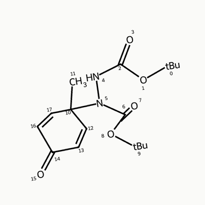 CC(C)(C)OC(=O)NN(C(=O)OC(C)(C)C)C1(C)C=CC(=O)C=C1